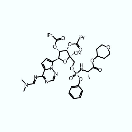 CC(C)C(=O)O[C@H]1[C@H](c2ccc3c(/N=C/N(C)C)ncnn23)O[C@](C#N)(COP(=O)(N[C@@H](C)C(=O)OC2CCOCC2)Oc2ccccc2)[C@H]1OC(=O)C(C)C